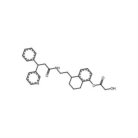 O=C(CC(c1ccccc1)c1cccnc1)NCCC1CCCc2c(OC(=O)CO)cccc21